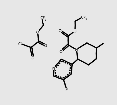 CC1CCC(c2cncc(F)c2)N(C(=O)C(=O)OCC(F)(F)F)C1.O=C(Cl)C(=O)OCC(F)(F)F